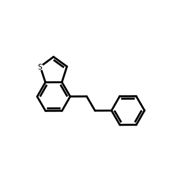 c1ccc(CCc2cccc3sccc23)cc1